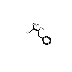 O=C(O)/C(=C(/Cc1ccccc1)[N+](=O)[O-])[N+](=O)[O-]